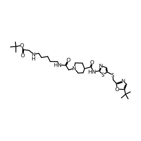 CC(C)(C)OC(=O)CNCCCCCNC(=O)CN1CCC(C(=O)Nc2ncc(SCc3ncc(C(C)(C)C)o3)s2)CC1